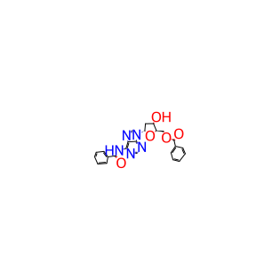 O=C(Nc1ncnc2c1ncn2[C@@H]1C[C@@H](O)[C@@H](COC(=O)c2ccccc2)O1)c1ccccc1